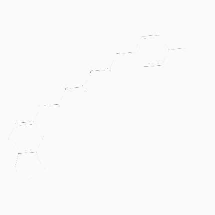 COc1ccc(CNC(=O)NC(=O)COc2ccc3c(c2)OCO3)cc1